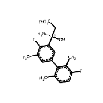 CCOC(=O)C[C@@](N)(O)c1cc(-c2c(C)ccc(F)c2C)cc(C(F)(F)F)c1F